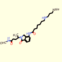 CNCCCNCCCCCCC(=O)Nc1cccc2c1CN(C(C)CCC(=O)NC=O)C2=O